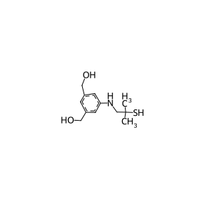 CC(C)(S)CNc1cc(CO)cc(CO)c1